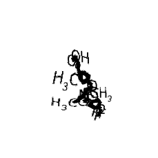 CCCN(C[C@@H](C)Oc1ccc(SCC(=O)O)c(C)c1)S(=O)(=O)c1ccc(OC(F)(F)F)cc1